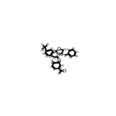 CC(=O)c1ccc(C[C@@H](C(=O)N2C(=O)OC[C@H]2Cc2ccccc2)c2ccc(C(C)(C)C)cc2)cc1